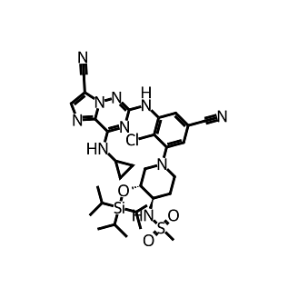 CC(C)[Si](O[C@@H]1CN(c2cc(C#N)cc(Nc3nc(NC4CC4)c4ncc(C#N)n4n3)c2Cl)CC[C@H]1NS(C)(=O)=O)(C(C)C)C(C)C